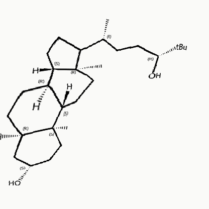 C[C@H](CC[C@@H](O)C(C)(C)C)C1CC[C@H]2[C@@H]3CC[C@@H]4C[C@@H](O)CC[C@]4(C)[C@H]3CC[C@]12C